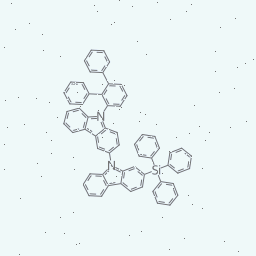 c1ccc(-c2cccc(-n3c4ccccc4c4cc(-n5c6ccccc6c6ccc([Si](c7ccccc7)(c7ccccc7)c7ccccc7)cc65)ccc43)c2-c2ccccc2)cc1